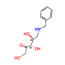 O=C(CO)[C@@H](O)[C@@H](O)CNCc1ccccc1